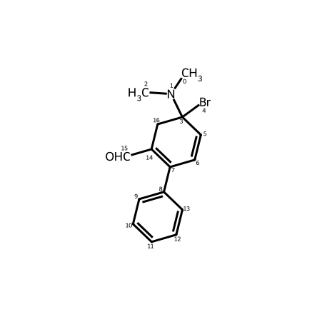 CN(C)C1(Br)C=CC(c2ccccc2)=C(C=O)C1